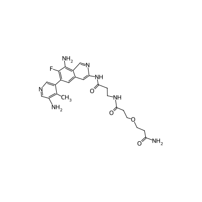 Cc1c(N)cncc1-c1cc2cc(NC(=O)CCNC(=O)CCOCCC(N)=O)ncc2c(N)c1F